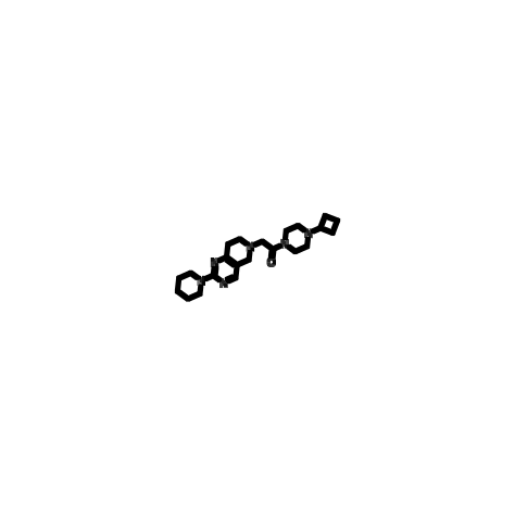 O=C(CN1CCc2nc(N3CCCCC3)ncc2C1)N1CCN(C2CCC2)CC1